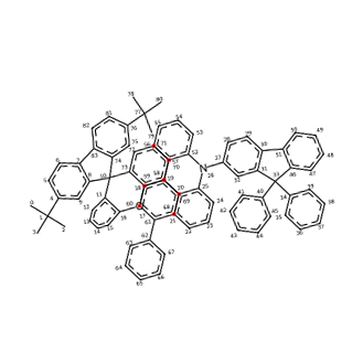 CC(C)(C)c1ccc2c(c1)C1(c3ccccc3Oc3c(-c4ccccc4N(c4ccc5c(c4)C(c4ccccc4)(c4ccccc4)c4ccccc4-5)c4ccccc4-c4ccc(-c5ccccc5)cc4)cccc31)c1cc(C(C)(C)C)ccc1-2